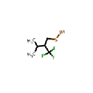 CC(C)C(CSS)C(F)(F)F